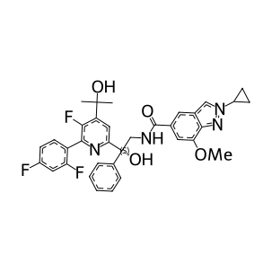 COc1cc(C(=O)NC[C@@](O)(c2ccccc2)c2cc(C(C)(C)O)c(F)c(-c3ccc(F)cc3F)n2)cc2cn(C3CC3)nc12